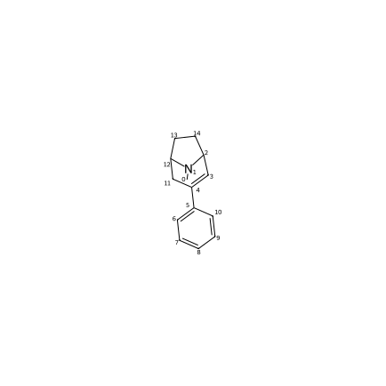 CN1C2C=C(c3ccccc3)CC1CC2